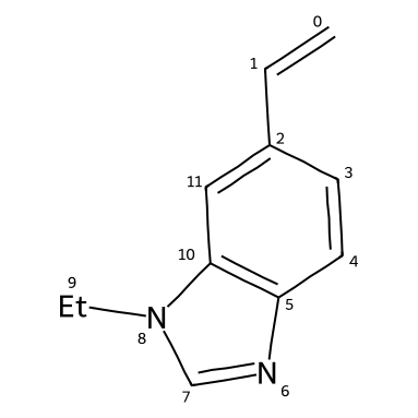 C=Cc1ccc2ncn(CC)c2c1